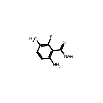 CNC(=O)c1c(N)ccc(C)c1F